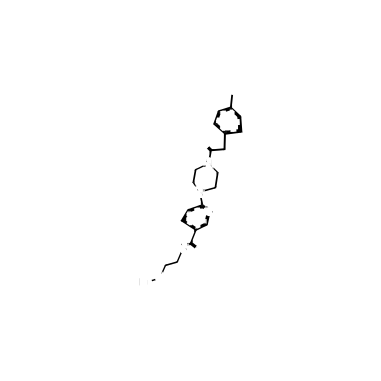 CCSCCNC(=O)c1ccc(N2CCN(C(=O)Cc3ccc(C)cc3)CC2)nc1